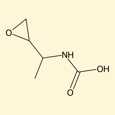 CC(NC(=O)O)C1CO1